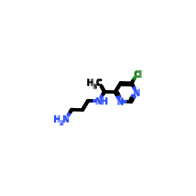 CC(NCCCN)c1cc(Cl)ncn1